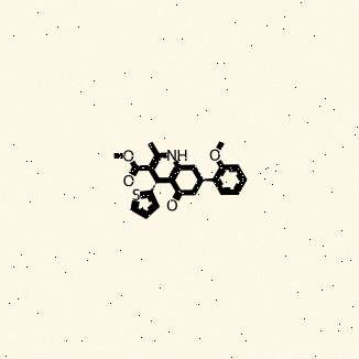 COC(=O)C1=C(C)NC2=C(C(=O)C[C@H](c3ccccc3OC)C2)[C@@H]1c1cccs1